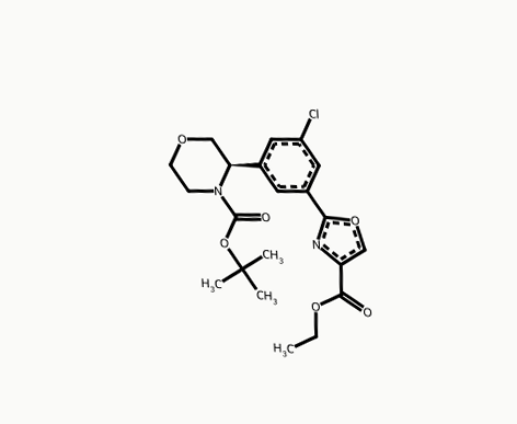 CCOC(=O)c1coc(-c2cc(Cl)cc([C@@H]3COCCN3C(=O)OC(C)(C)C)c2)n1